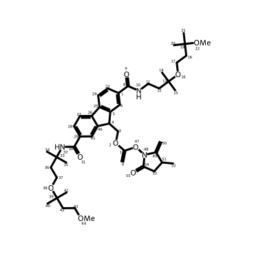 C=C(OCC1c2cc(C(=O)NCCC(C)(C)OCCC(C)(C)OC)ccc2-c2ccc(C(=O)NC(C)(C)CCOC(C)(C)CCOC)cc21)ON1C(=C)C(C)CC1=O